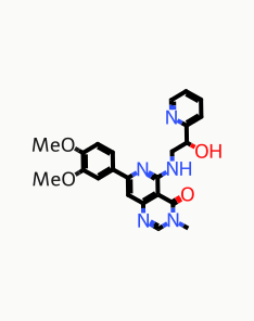 COc1ccc(-c2cc3ncn(C)c(=O)c3c(NCC(O)c3ccccn3)n2)cc1OC